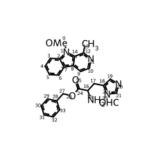 COn1c2ccccc2c2ccnc(C)c21.NC(Cc1cncn1C=O)C(=O)OCc1ccccc1